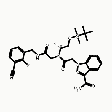 C[C@H](CO[Si](C)(C)C(C)(C)C)N(CC(=O)NCc1cccc(C#N)c1F)C(=O)Cn1nc(C(N)=O)c2ccccc21